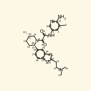 Cc1cc(NC(=O)C(=O)N2C[C@@H](C)CC[C@@H]2c2ccc3sc(CCN(C)C)nc3c2)cnc1N